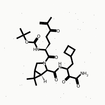 C=C(C)C(=O)CC[C@H](NC(=O)OC(C)(C)C)C(=O)N1CC2[C@@H](C1C(=O)NC(CC1CCC1)C(=O)C(N)=O)C2(C)C